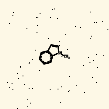 C[SH]1C=Cc2ccccc21